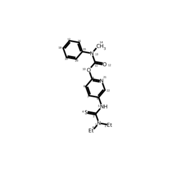 CCN(CC)C(=S)Nc1ccc(OC(=O)N(C)c2ccccc2)nc1